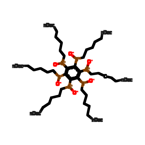 CCCCCCCCCCCCCCC[S+]([O-])c1c([S+]([O-])CCCCCCCCCCCCCCC)c([S+]([O-])CCCCCCCCCCCCCCC)c([S+]([O-])CCCCCCCCCCCCCCC)c([S+]([O-])CCCCCCCCCCCCCCC)c1[S+]([O-])CCCCCCCCCCCCCCC